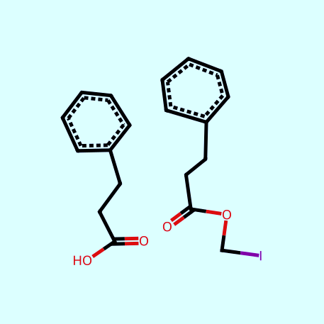 O=C(CCc1ccccc1)OCI.O=C(O)CCc1ccccc1